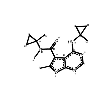 Cc1oc2ncnc(NC3(C)CC3)c2c1C(=O)N(I)C1(C)CC1